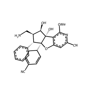 COc1nc(C#N)cc2c1[C@]1(O)[C@H](O)[C@H](CN)[C@@H](c3ccccc3)[C@]1(C1C=CC(C#N)=CC1)O2